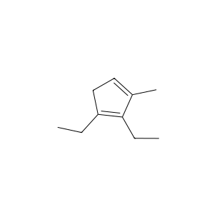 CCC1=C(CC)C(C)=CC1